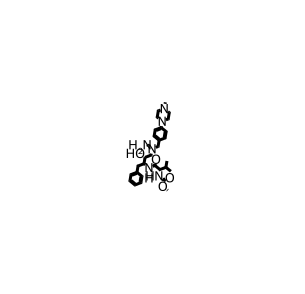 COC(=O)N[C@H](C(=O)NC(Cc1ccccc1)C(O)CN(N)Cc1ccc(N2CCN(C)CC2)cc1)C(C)C